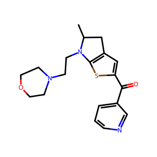 CC1Cc2cc(C(=O)c3cccnc3)sc2N1CCN1CCOCC1